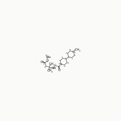 CN1CCC(C2CCN(C(=O)CNC(C)(C)CC(=O)OC(C)(C)C)CC2)CC1